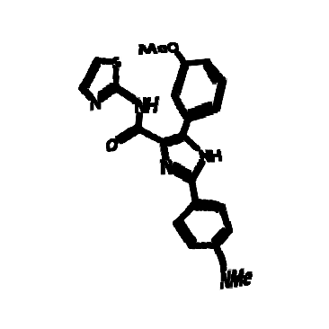 CNc1ccc(-c2nc(C(=O)Nc3nccs3)c(-c3cccc(OC)c3)[nH]2)cc1